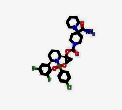 NC(=O)C1(N2CCCCC2)CCN(C(=O)OC2([C@H]3CCC[C@@H](c4cc(F)cc(F)c4)N3S(=O)(=O)c3ccc(Cl)cc3)CC2)CC1